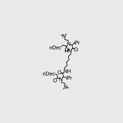 CCCCCCCCCCCC(=O)N(CCN(C)C)C(C(=O)NCCCCCCNC(=O)C(C(C)C)N(CCN(C)C)C(=O)CCCCCCCCCCC)C(C)C